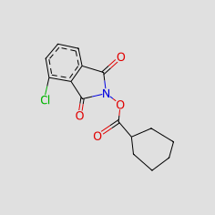 O=C(ON1C(=O)c2cccc(Cl)c2C1=O)C1CCCCC1